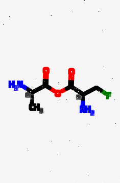 C[C@H](N)C(=O)OC(=O)[C@H](N)CF